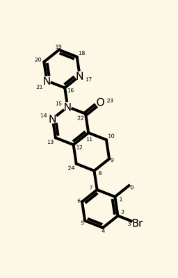 Cc1c(Br)cccc1C1CCc2c(cnn(-c3ncccn3)c2=O)C1